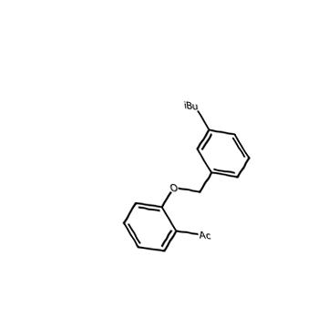 CCC(C)c1cccc(COc2ccccc2C(C)=O)c1